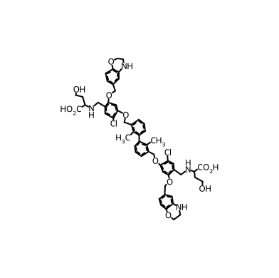 Cc1c(COc2cc(OCc3ccc4c(c3)NCCO4)c(CNC(CCO)C(=O)O)cc2Cl)cccc1-c1cccc(COc2cc(OCc3ccc4c(c3)NCCO4)c(CNC(CCO)C(=O)O)cc2Cl)c1C